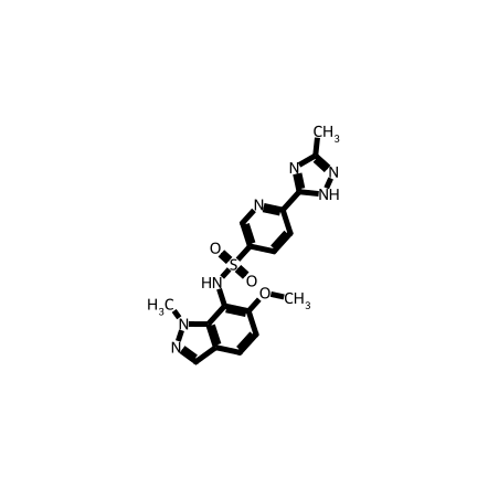 COc1ccc2cnn(C)c2c1NS(=O)(=O)c1ccc(-c2nc(C)n[nH]2)nc1